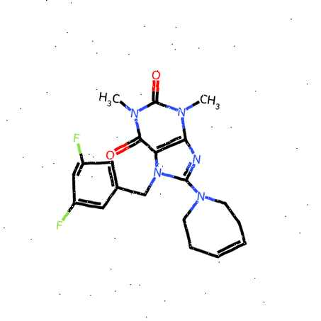 Cn1c(=O)c2c(nc(N3CCC=CCC3)n2Cc2cc(F)cc(F)c2)n(C)c1=O